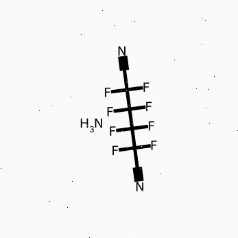 N.N#CC(F)(F)C(F)(F)C(F)(F)C(F)(F)C#N